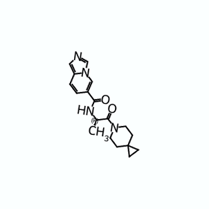 C[C@@H](NC(=O)c1ccc2cncn2c1)C(=O)N1CCC2(CC1)CC2